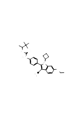 CCOc1ccc2c(C#N)c(-c3ccc(NC(=O)OC(C)C(C)(C)C)cc3)n(C3CCC3)c2c1